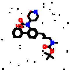 CN(C/C=C/c1ccc(-c2ccccc2)c(N(C(=O)O)C23CCN(CC2)CC3)c1)C(=O)OC(C)(C)C